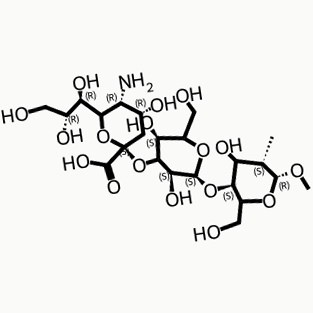 CO[C@@H]1OC(CO)[C@@H](O[C@@H]2OC(CO)[C@H](O)C(O[C@]3(C(=O)O)C[C@@H](O)[C@@H](N)C([C@H](O)[C@H](O)CO)O3)[C@@H]2O)C(O)[C@@H]1C